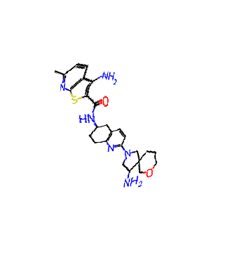 Cc1ccc2c(N)c(C(=O)NC3CCc4nc(N5CC(N)C6(CCCOC6)C5)ccc4C3)sc2n1